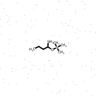 CCCC([SiH3])O[Si](C)(C)C